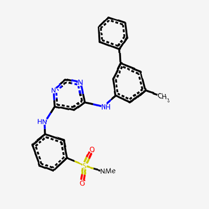 CNS(=O)(=O)c1cccc(Nc2cc(Nc3cc(C)cc(-c4ccccc4)c3)ncn2)c1